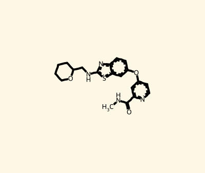 CNC(=O)c1cc(Oc2ccc3nc(NCC4CCCCO4)sc3c2)ccn1